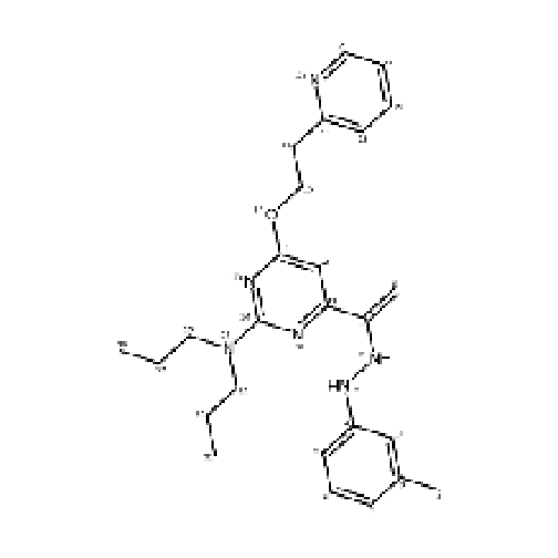 C=C(NNc1cccc(C)c1)c1cc(OCCc2ccccn2)nc(N(CCC)CCC)n1